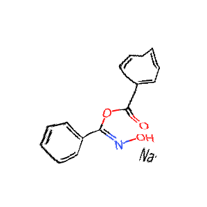 O=C(OC(=NO)c1ccccc1)c1ccccc1.[Na]